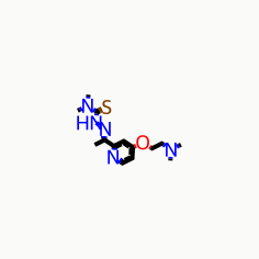 C/C(=N\NC(=S)N(C)C)c1cc(OCCN(C)C)ccn1